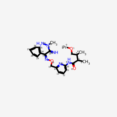 CC(C)OCC(C)C(C)C(=O)Nc1cccc(CO/N=C(\C(=N)N(C)N)c2ccccc2)n1